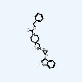 O=C(OCc1ccccc1)N1CCC(F)(CN[C@@H]2C[C@H]2c2c[nH]c3ccccc23)CC1